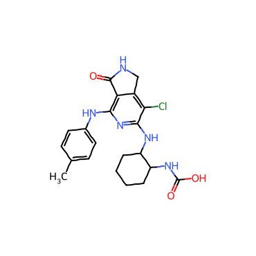 Cc1ccc(Nc2nc(NC3CCCCC3NC(=O)O)c(Cl)c3c2C(=O)NC3)cc1